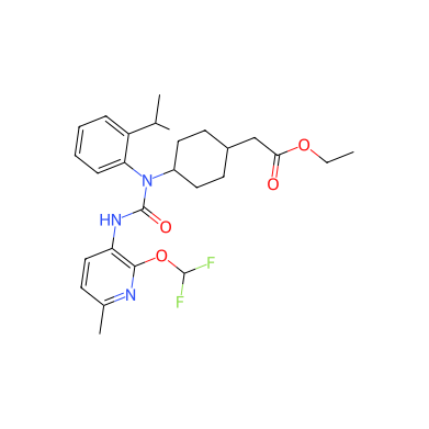 CCOC(=O)CC1CCC(N(C(=O)Nc2ccc(C)nc2OC(F)F)c2ccccc2C(C)C)CC1